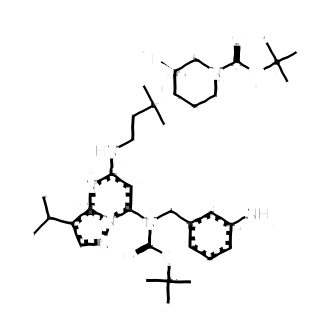 CC(C)c1cnn2c(N(Cc3cccc(N)c3)C(=O)OC(C)(C)C)cc(NCCC(C)(C)[C@H]3CCN(C(=O)OC(C)(C)C)C[C@@H]3F)nc12